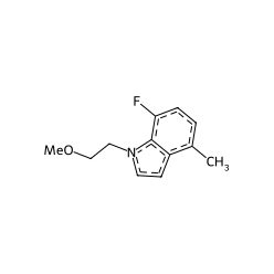 COCCn1ccc2c(C)ccc(F)c21